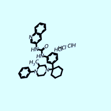 CC1CN(C2(c3cccc(NC(=O)Nc4cnc5ccccc5c4)c3)CCCCC2)CCN1c1ccccc1.Cl.Cl.Cl